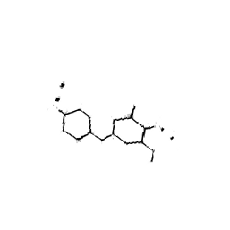 CCC1CC(CC2CCC(N=C=O)CC2)CC(C)C1N=C=O